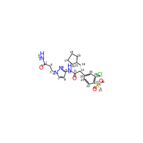 CNC(=O)CCn1ccc(NC(=O)[C@H](CC2CCCC2)c2ccc(S(C)(=O)=O)c(Cl)c2)n1